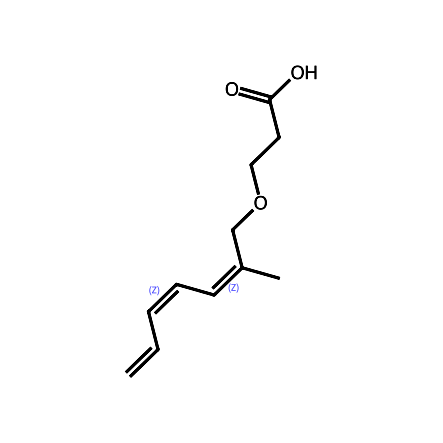 C=C/C=C\C=C(\C)COCCC(=O)O